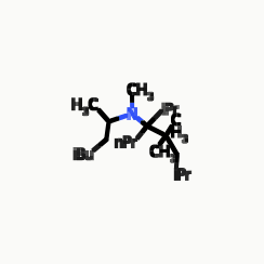 CCCC(C(C)C)(N(C)C(C)CC(C)CC)C(C)(C)CC(C)C